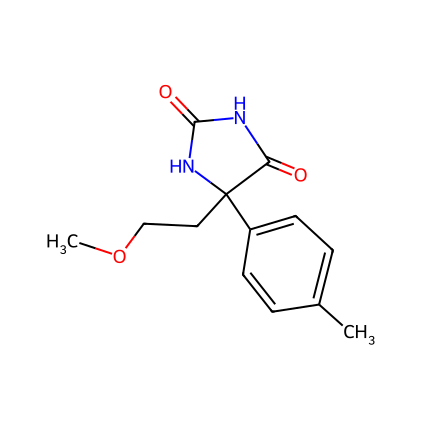 COCCC1(c2ccc(C)cc2)NC(=O)NC1=O